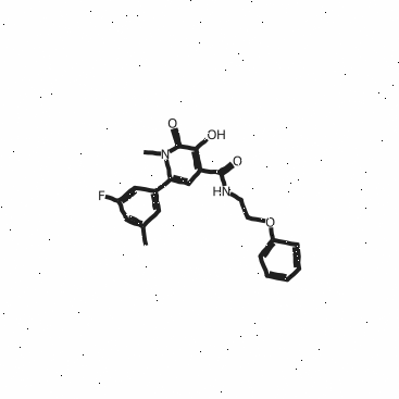 Cc1cc(F)cc(-c2cc(C(=O)NCCOc3ccccc3)c(O)c(=O)n2C)c1